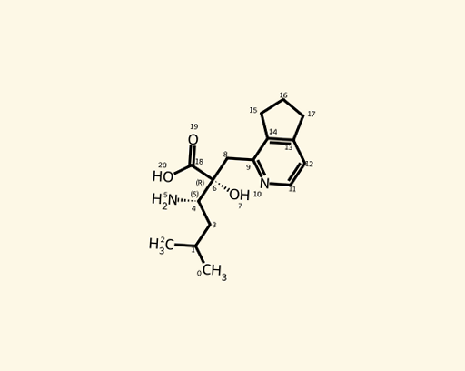 CC(C)C[C@H](N)[C@](O)(Cc1nccc2c1CCC2)C(=O)O